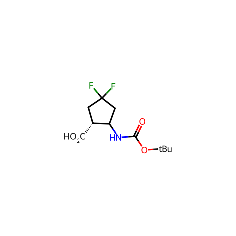 CC(C)(C)OC(=O)NC1CC(F)(F)C[C@H]1C(=O)O